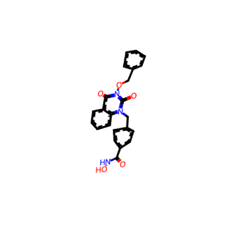 O=C(NO)c1ccc(Cn2c(=O)n(OCc3ccccc3)c(=O)c3ccccc32)cc1